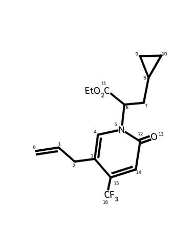 C=CCc1cn(C(CC2CC2)C(=O)OCC)c(=O)cc1C(F)(F)F